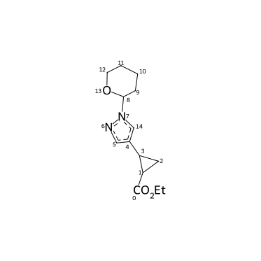 CCOC(=O)C1CC1c1cnn(C2CCCCO2)c1